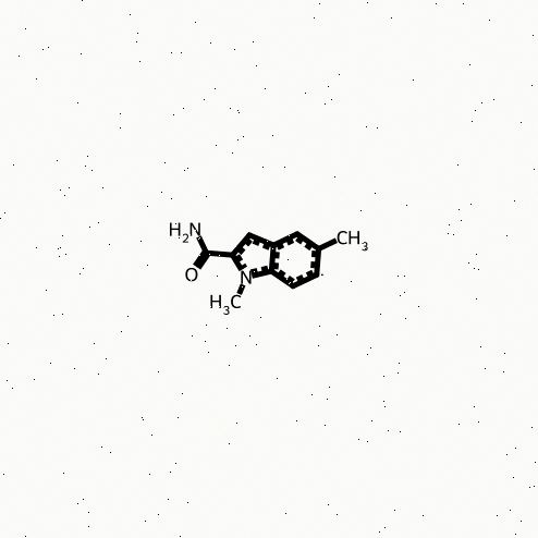 Cc1[c]cc2c(c1)cc(C(N)=O)n2C